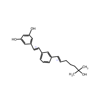 CC(C)(O)CCC/C=C/c1cccc(/C=C/c2cc(O)cc(O)c2)c1